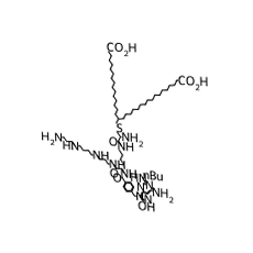 CCCCNc1nc(N)c2nc(O)n(Cc3ccc(C(=O)N[C@@H](CCCCNC(=O)[C@@H](N)CSCC(CCCCCCCCCCCCCCCCC(=O)O)CCCCCCCCCCCCCCCC(=O)O)C(=O)NCCCNCCCCNCCCN)cc3)c2n1